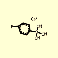 N#C[B-](C#N)(C#N)c1ccc(F)cc1.[Cs+]